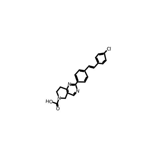 O=C(O)N1CCc2nc(-c3ccc(C=Cc4ccc(Cl)cc4)cc3)ncc2C1